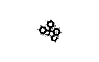 O=C([C@@H]1CCCN1)C(c1ccccc1)(c1ccccc1)c1ccccc1